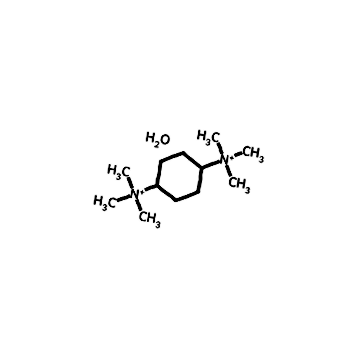 C[N+](C)(C)C1CCC([N+](C)(C)C)CC1.O